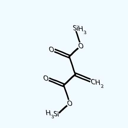 C=C(C(=O)O[SiH3])C(=O)O[SiH3]